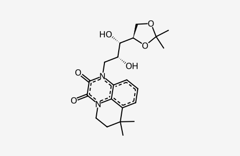 CC1(C)OC[C@H]([C@@H](O)[C@H](O)Cn2c(=O)c(=O)n3c4c(cccc42)C(C)(C)CC3)O1